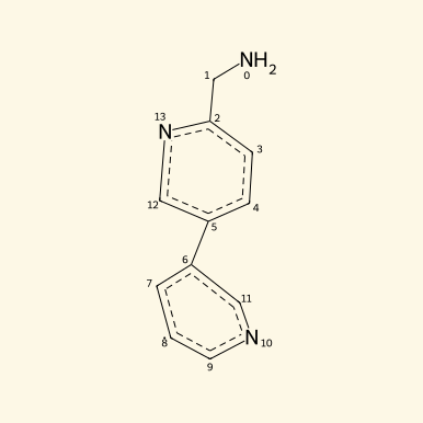 NCc1ccc(-c2c[c]cnc2)cn1